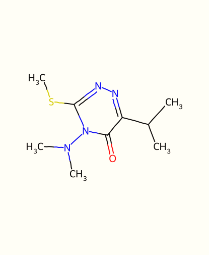 CSc1nnc(C(C)C)c(=O)n1N(C)C